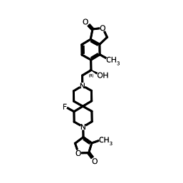 CC1=C(N2CCC3(CCN(C[C@H](O)c4ccc5c(c4C)COC5=O)CC3)C(F)C2)COC1=O